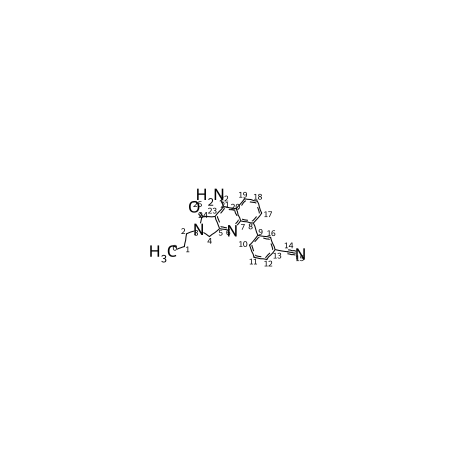 CCCN1Cc2nc3c(-c4cccc(C#N)c4)cccc3c(N)c2C1=O